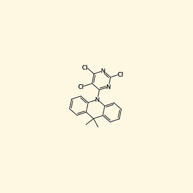 CC1(C)c2ccccc2N(c2nc(Cl)nc(Cl)c2Cl)c2ccccc21